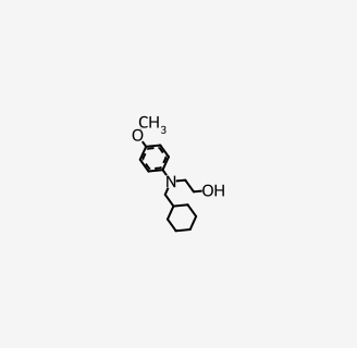 COc1ccc(N(CCO)CC2CCCCC2)cc1